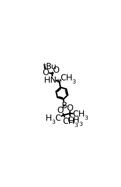 C[C@H](NC(=O)OC(C)(C)C)c1ccc(B2OC(C)(C)C(C)(C)O2)cc1